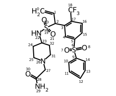 C=CC(c1cc(S(=O)(=O)c2ccccc2)ccc1C(F)(F)F)S(=O)(=O)NC1CCN(CC(N)=O)CC1